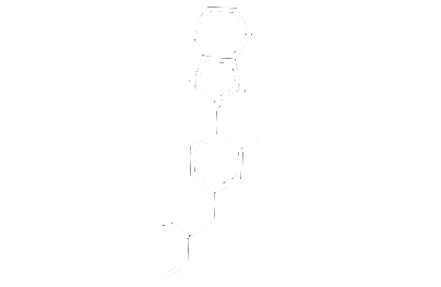 C=CC(=O)Oc1ccc(-n2nc3ccccc3n2)c(O)c1